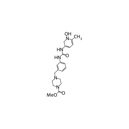 COC(=O)N1CCN(Cc2cccc(NC(=O)NC3=CC=C(C)N(O)C3)c2)CC1